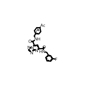 CC(=O)C12CCC(CNC(=O)c3cc(C(=O)NCc4cccc(F)c4)nc4ncnn34)(CC1)CC2